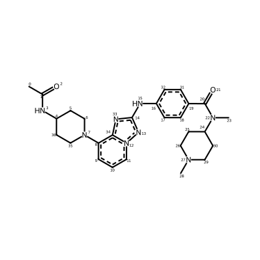 CC(=O)NC1CCN(c2cccn3nc(Nc4ccc(C(=O)N(C)C5CCN(C)CC5)cc4)nc23)CC1